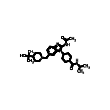 CC(=O)Nc1nc2ccc(CN3CCC(C(C)(C)O)CC3)cc2n1C1CCC(C(=O)NC(C)C)CC1